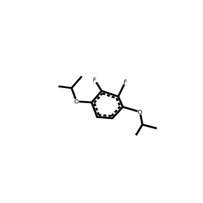 CC(C)Oc1ccc(OC(C)C)c(F)c1F